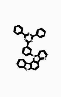 c1ccc(-c2nc(-c3ccccc3)nc(-c3cccc(-n4c5cccnc5c5ccc6oc7ccccc7c6c54)c3)n2)cc1